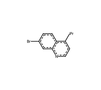 CC(C)c1ccnc2cc(Br)ccc12